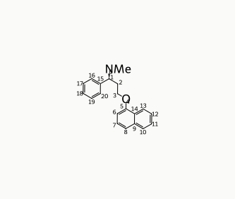 CN[C@@H](CCOc1cccc2ccccc12)c1ccccc1